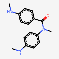 CNc1ccc(C(=O)N(C)c2ccc(NC)cc2)cc1